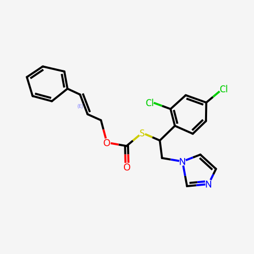 O=C(OC/C=C/c1ccccc1)SC(Cn1ccnc1)c1ccc(Cl)cc1Cl